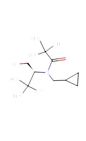 CC(C)(C)C(=O)N(CC1CC1)[C@H](CO)C(C)(C)C